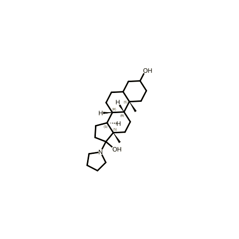 C[C@]12CCC(O)CC1CC[C@@H]1[C@H]2CC[C@@]2(C)[C@H]1CCC2(O)N1CCCC1